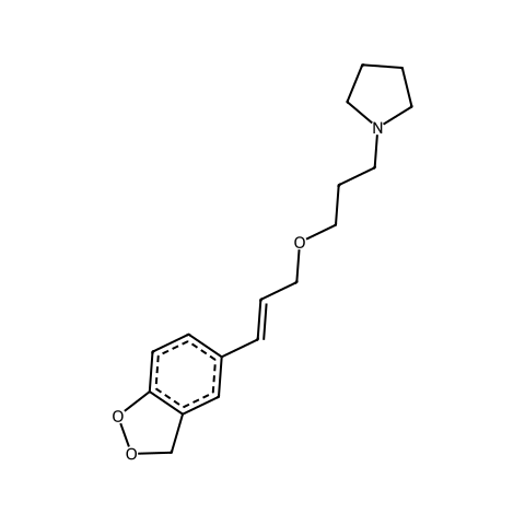 C(=C\c1ccc2c(c1)COO2)/COCCCN1CCCC1